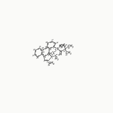 CC1C=Cc2c1c1[c]([Ti]([CH3])([CH3])[NH]C(C)(C)C)cccc1c1ccccc21.[SiH4]